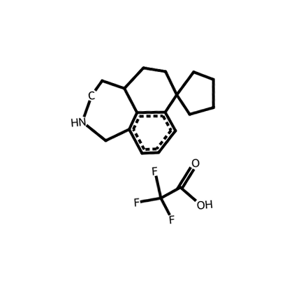 O=C(O)C(F)(F)F.c1cc2c3c(c1)C1(CCCC1)CCC3CCNC2